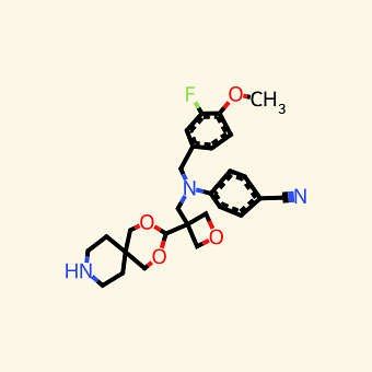 COc1ccc(CN(CC2(C3OCC4(CCNCC4)CO3)COC2)c2ccc(C#N)cc2)cc1F